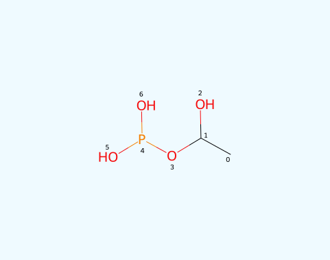 CC(O)OP(O)O